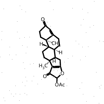 CC(=O)OC1OC2=C(C1=O)[C@@]1(C)CC[C@H]3[C@@H](CCC4=CC(=O)CC[C@@]43C)[C@@H]1C2